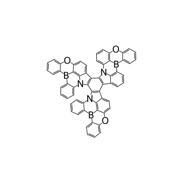 c1ccc2c(c1)Oc1cccc3c1B2c1cccc2c4c5c6ccc7c8c6n(c5c5c(c6ccc9c%10c6n5-c5ccccc5B%10c5ccccc5O9)c4n-3c12)-c1ccccc1B8c1ccccc1O7